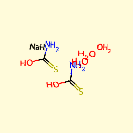 NC(O)=S.NC(O)=S.O.O.O.[NaH]